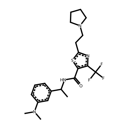 CC(NC(=O)c1sc(CCN2CCCC2)nc1C(F)(F)F)c1cccc(N(C)C)c1